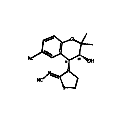 CC(=O)c1ccc2c(c1)[C@H](N1CCSC1=NC#N)[C@@H](O)C(C)(C)O2